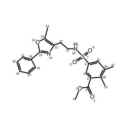 COC(=O)c1cc(S(=O)(=O)NCCc2nc(-c3ccccc3)oc2C)cc(C)c1C